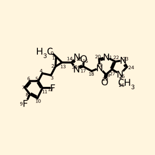 CC1C(CCc2ccc(F)cc2F)C1c1noc(Cn2cnc3ncn(C)c3c2=O)n1